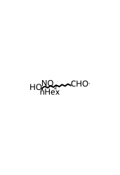 CCCCCCC(O)C(CCCCCCCCC[C]=O)[N+](=O)[O-]